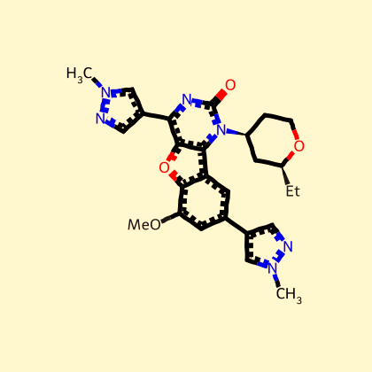 CC[C@H]1C[C@@H](n2c(=O)nc(-c3cnn(C)c3)c3oc4c(OC)cc(-c5cnn(C)c5)cc4c32)CCO1